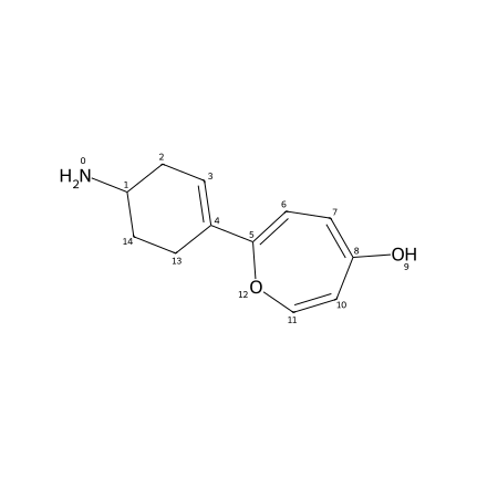 NC1CC=C(C2=CC=C(O)C=CO2)CC1